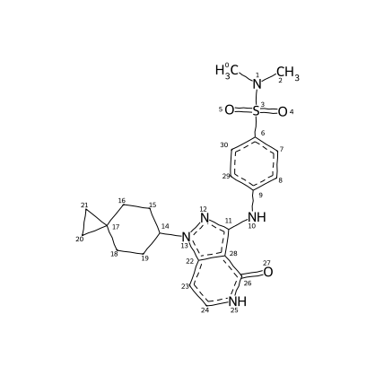 CN(C)S(=O)(=O)c1ccc(Nc2nn(C3CCC4(CC3)CC4)c3cc[nH]c(=O)c23)cc1